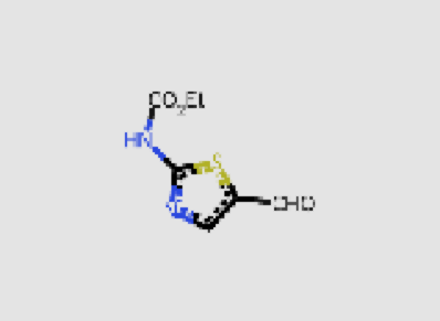 CCOC(=O)Nc1ncc(C=O)s1